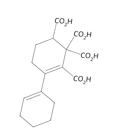 O=C(O)C1=C(C2=CCCCC2)CCC(C(=O)O)C1(C(=O)O)C(=O)O